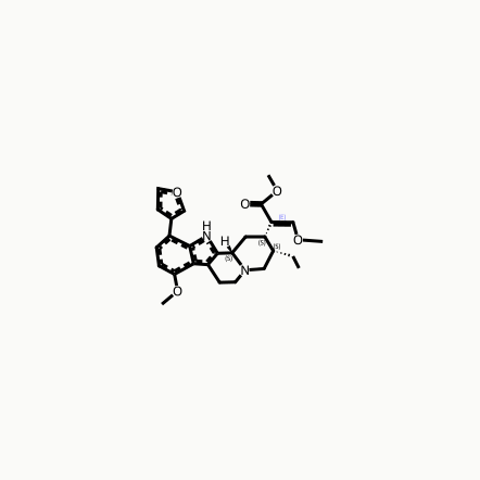 CC[C@@H]1CN2CCc3c([nH]c4c(-c5ccoc5)ccc(OC)c34)[C@@H]2C[C@@H]1/C(=C\OC)C(=O)OC